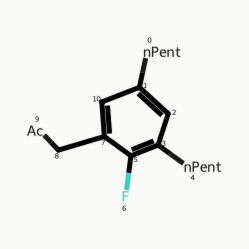 CCCCCc1cc(CCCCC)c(F)c(CC(C)=O)c1